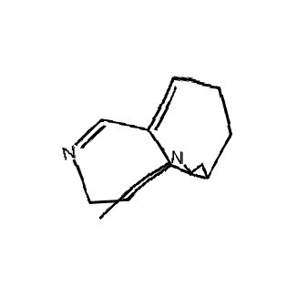 CN1CCC2CCC=C3C=NCCC321